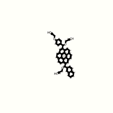 C#CCOc1ccc(C(OCC#C)c2cc3ccc4ccc5c(C(OCC#C)c6ccc7ccccc7c6)cc6ccc7ccc2c2c7c6c5c4c32)cc1